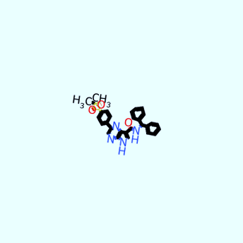 CC(C)S(=O)(=O)c1ccc(-c2cnc3[nH]cc(C(=O)NC(c4ccccc4)c4ccccc4)c3n2)cc1